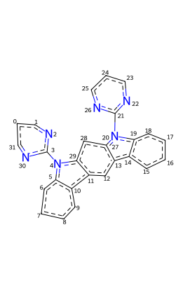 c1cnc(-n2c3ccccc3c3cc4c5ccccc5n(-c5ncccn5)c4cc32)nc1